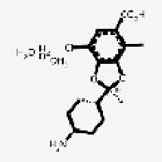 Cc1c(C(=O)O)cc(Cl)c2c1O[C@@](C)([C@H]1CC[C@H](N)CC1)O2.O.O.O